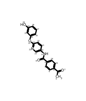 CC(=O)c1ccc(C(=O)Nc2ccc(Oc3cccc(O)c3)nc2)cc1